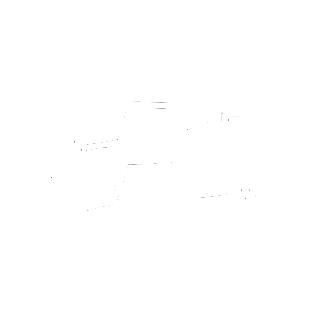 COCc1c(N)ccc2ncccc12